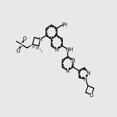 CC(C)c1ccc(N2C[C@H](CS(C)(=O)=O)[C@H]2C)c2cnc(Nc3ccnc(-c4cnn(C5COC5)c4)n3)cc12